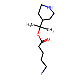 CC(C)(OC(=O)CCCCI)C1CCNCC1